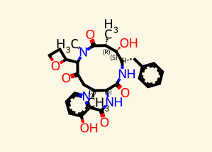 C[C@H]1CC(=O)C(C2CCO2)N(C)C(=O)[C@H](C)[C@H](O)[C@H](Cc2ccccc2)NC(=O)[C@H]1NC(=O)c1ncccc1O